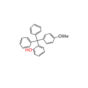 COc1ccc(C(c2ccccc2)(c2ccccc2)c2ccccc2O)cc1